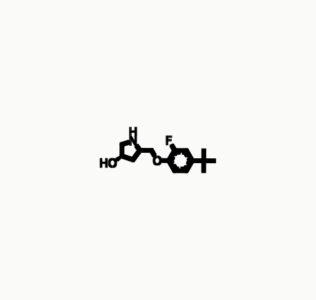 CC(C)(C)c1ccc(OCC2C[C@@H](O)CN2)c(F)c1